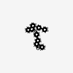 c1ccc(-c2cccc(N(c3ccc(-c4ccc5c(ccc6oc7ccccc7c65)c4)cc3)c3cc4ccccc4c4ccccc34)c2)cc1